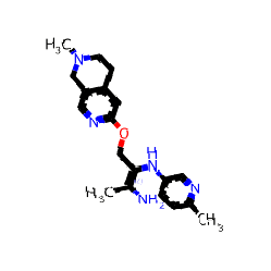 C/C(N)=C(\COc1cc2c(cn1)CN(C)CC2)Nc1ccc(C)nc1